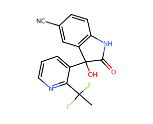 CC(F)(F)c1ncccc1C1(O)C(=O)Nc2ccc(C#N)cc21